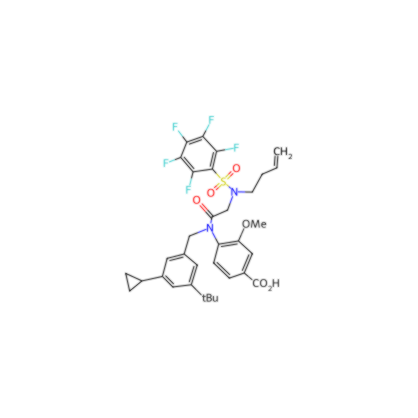 C=CCCN(CC(=O)N(Cc1cc(C2CC2)cc(C(C)(C)C)c1)c1ccc(C(=O)O)cc1OC)S(=O)(=O)c1c(F)c(F)c(F)c(F)c1F